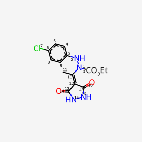 CCOC(=O)N(Nc1ccc(Cl)cc1)C(C)=C1C(=O)NNC1=O